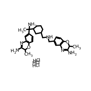 CC1Oc2ccc(CNCC3CCCC(C(C)(N)c4ccc5c(c4)N=C(N)C(C)O5)C3)cc2N=C1N.Cl.Cl.Cl